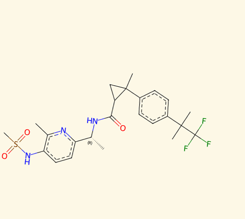 Cc1nc([C@@H](C)NC(=O)C2CC2(C)c2ccc(C(C)(C)C(F)(F)F)cc2)ccc1NS(C)(=O)=O